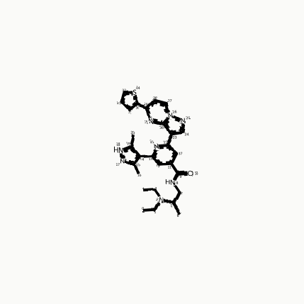 CCN(CC)C(C)CNC(=O)c1cc(-c2c(C)n[nH]c2C)nc(-c2cnn3ccc(-c4cccs4)nc23)c1